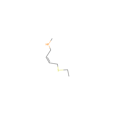 CCSC/C=C\CPC